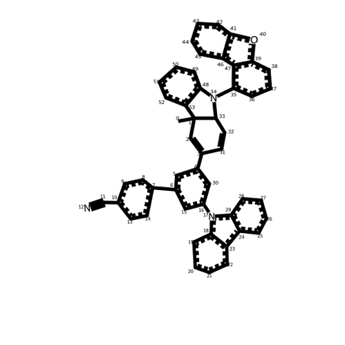 CC12C=C(c3cc(-c4ccc(C#N)cc4)cc(-n4c5ccccc5c5ccccc54)c3)C=CC1N(c1cccc3oc4ccccc4c13)c1ccccc12